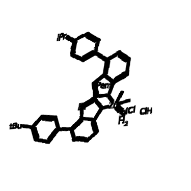 CCCC(C)C1=Cc2c(-c3ccc(C(C)(C)C)cc3)cccc2[CH]1[Zr]([CH3])([CH3])(=[SiH2])[CH]1C(CC)=Cc2c(-c3ccc(C(C)C)cc3)cccc21.Cl.Cl